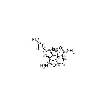 CCOC1(c2c(C(N)=O)nn(C3CN(CC)C3)c2CC)NC=CC=C1C(N)=O